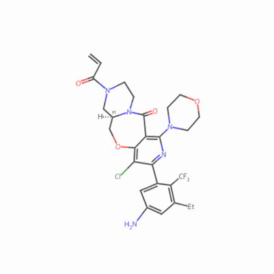 C=CC(=O)N1CCN2C(=O)c3c(N4CCOCC4)nc(-c4cc(N)cc(CC)c4C(F)(F)F)c(Cl)c3OC[C@H]2C1